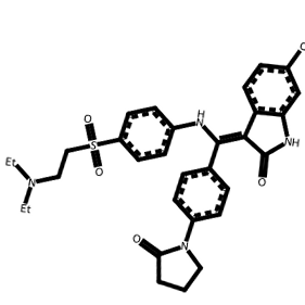 CCN(CC)CCS(=O)(=O)c1ccc(NC(=C2C(=O)Nc3cc(Cl)ccc32)c2ccc(N3CCCC3=O)cc2)cc1